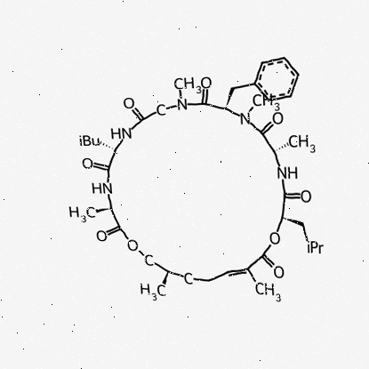 CCC(C)[C@@H]1NC(=O)CN(C)C(=O)[C@@H](Cc2ccccc2)N(C)C(=O)[C@H](C)NC(=O)[C@@H](CC(C)C)OC(=O)/C(C)=C/CC[C@@H](C)COC(=O)[C@@H](C)NC1=O